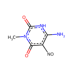 Cn1c(=O)[nH]c(N)c(N=O)c1=O